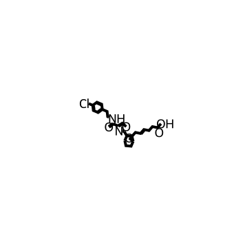 O=C(O)CCC=CCC1C2CCC(O2)C1c1nc(C(=O)NCCc2ccc(Cl)cc2)co1